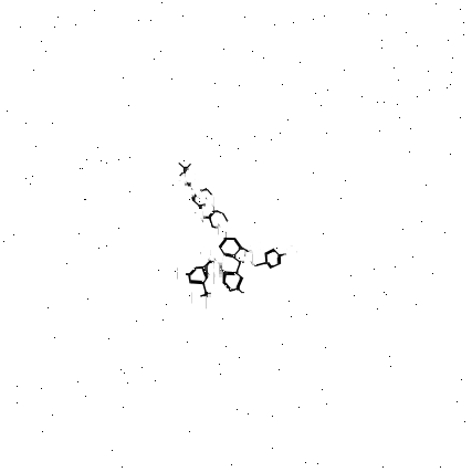 COc1ccc(CN2C(=O)c3cc(N4CCc5c(nc6n5CCN(C(=O)OC(C)(C)C)C6)C4)cc(NC(=O)c4cc(F)cc(C(F)(F)F)c4)c3C2c2cc(F)ccc2Cl)cc1